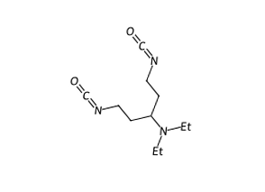 CCN(CC)C(CCN=C=O)CCN=C=O